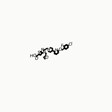 O=C(O)c1cc2c(nc(CN3CC=C(c4cccc(OCc5ccc(Cl)cc5F)n4)CC3)n2CC2CCO2)s1